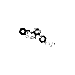 CCOC(=O)C1CCN(c2ncnc(NCc3ccccc3C(F)(F)F)c2N=O)CC1